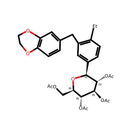 CCc1ccc([C@@H]2O[C@H](COC(C)=O)[C@@H](OC(C)=O)[C@H](OC(C)=O)[C@H]2OC(C)=O)cc1Cc1ccc2c(c1)OCCO2